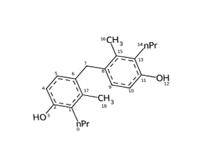 CCCc1c(O)ccc(Cc2ccc(O)c(CCC)c2C)c1C